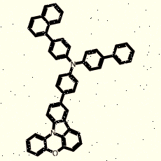 c1ccc(-c2ccc(N(c3ccc(-c4ccc5c(c4)c4cccc6c4n5-c4ccccc4O6)cc3)c3ccc(-c4cccc5ccccc45)cc3)cc2)cc1